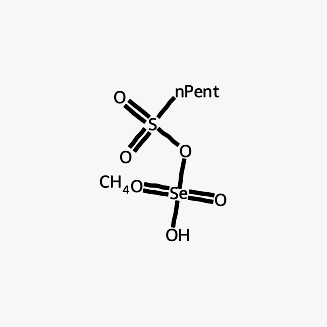 C.CCCCCS(=O)(=O)O[Se](=O)(=O)O